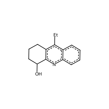 CCc1c2c(nc3ccccc13)C(O)CCC2